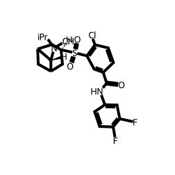 CC(C)N(C)[C@H]1C2CC1C[C@H](S(=O)(=O)c1cc(C(=O)Nc3ccc(F)c(F)c3)ccc1Cl)C2